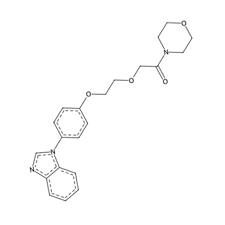 O=C(COCCOc1ccc(-n2cnc3ccccc32)cc1)N1CCOCC1